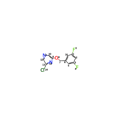 Fc1cc(F)cc(COc2cncc(Cl)n2)c1